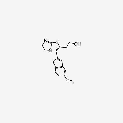 Cc1ccc2sc(C3=C(CCO)SC4=NCCN43)cc2c1